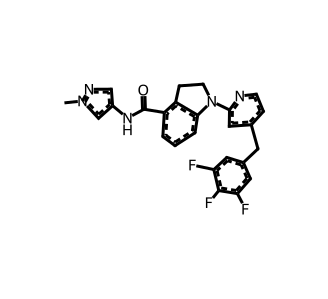 Cn1cc(NC(=O)c2cccc3c2CCN3c2cc(Cc3cc(F)c(F)c(F)c3)ccn2)cn1